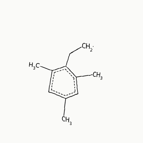 [CH2]Cc1c(C)cc(C)cc1C